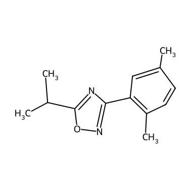 Cc1ccc(C)c(-c2noc(C(C)C)n2)c1